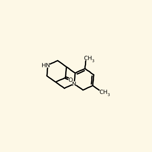 CC1=CC(C)=C2C3CNCC(CN2C1)C3=O